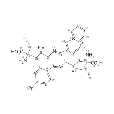 CC(C)c1ccc(C=NCCCC(N)(C(=O)O)C(F)F)cc1.NC(CCCN=Cc1ccc2ccccc2c1)(C(=O)O)C(F)F